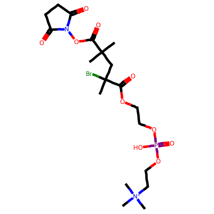 CC(C)(CC(C)(Br)C(=O)OCCOP(=O)(O)OCC[N+](C)(C)C)C(=O)ON1C(=O)CCC1=O